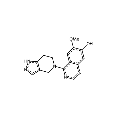 COc1cc2c(N3CCc4[nH]ncc4C3)ncnc2cc1O